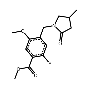 COC(=O)c1cc(OC)c(CN2CC(C)CC2=O)cc1F